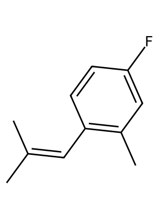 CC(C)=Cc1ccc(F)cc1C